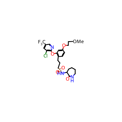 COCCOc1ccc(CCCS(=O)(=O)NC2CCCCNC2=O)c(Oc2ncc(C(F)(F)F)cc2Cl)c1